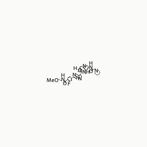 COCCNC(=O)c1ccc(-c2cn3ncc(C(=O)Nc4cc(NC(=O)CN5CCCCC5)cnc4C)c3cn2)cc1F